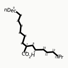 CCCCCCCCCCCCCCCCC(CCCCCC(C)C)C(=O)O